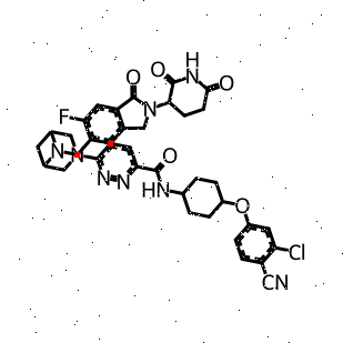 N#Cc1ccc(OC2CCC(NC(=O)c3ccc(N4CC5CC(C4)N5Cc4cc5c(cc4F)C(=O)N(C4CCC(=O)NC4=O)C5)nn3)CC2)cc1Cl